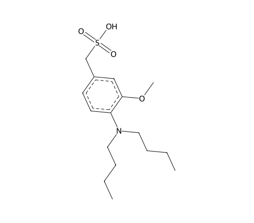 CCCCN(CCCC)c1ccc(CS(=O)(=O)O)cc1OC